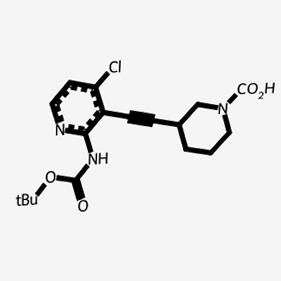 CC(C)(C)OC(=O)Nc1nccc(Cl)c1C#CC1CCCN(C(=O)O)C1